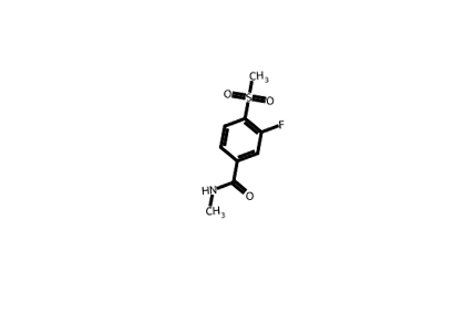 CNC(=O)c1ccc(S(C)(=O)=O)c(F)c1